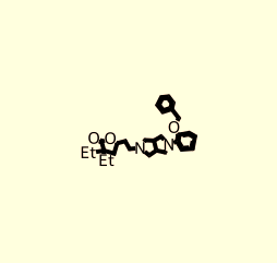 CCC1(CC)CC(CCN2CC3CN(c4ccccc4OCc4ccccc4)CC3C2)OC1=O